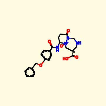 O=C(NC1CCC(=O)N2CNC[C@H](C(=O)O)C[N+]12[O-])c1ccc(OCc2ccccc2)cc1